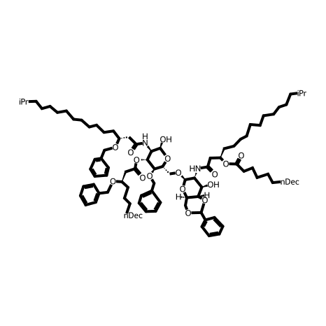 CCCCCCCCCCCCCCCC(=O)O[C@H](CCCCCCCCCCCC(C)C)CC(=O)N[C@H]1[C@H](OC[C@H]2O[C@H](O)[C@H](NC(=O)C[C@@H](CCCCCCCCCCCC(C)C)OCc3ccccc3)[C@@H](OC(=O)C[C@@H](CCCCCCCCCCCCC)OCc3ccccc3)[C@@H]2OCc2ccccc2)O[C@@H]2COC(c3ccccc3)O[C@H]2[C@@H]1O